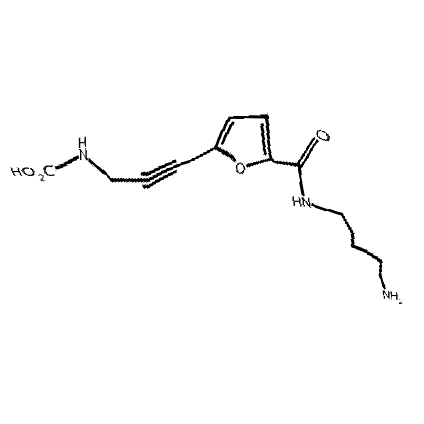 NCCCNC(=O)c1ccc(C#CCNC(=O)O)o1